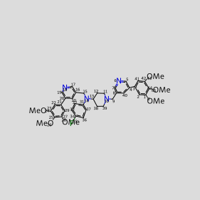 COc1cc(-c2cncc(CN3CCC(N(Cc4cncc(-c5cc(OC)c(OC)c(OC)c5)c4)c4ccc(F)cc4)CC3)c2)cc(OC)c1OC